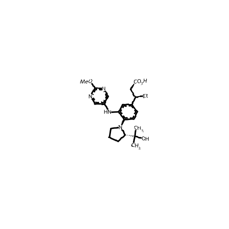 CCC(CC(=O)O)c1ccc(N2CCC[C@H]2C(C)(C)O)c(Nc2cnc(OC)nc2)c1